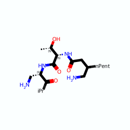 CCCCCC(CN)CC(=O)N[C@H](C(=O)N[C@@H](CN)C(=O)C(C)C)[C@H](C)O